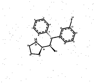 C[C@H]([C@H](c1ccccc1)c1cccc(F)c1)[C@H]1CCCN1